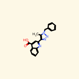 Cc1c(-c2cc(C(=O)O)c3ccccc3n2)nnn1Cc1ccccc1